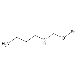 CCOC[SiH]CCCN